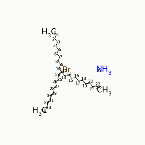 CCCCCCCCCCCC(Br)(CCCCCCCCCCC)CCCCCCCCCCC.N